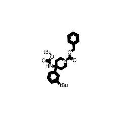 CC(C)(C)OC(=O)NC1(c2cccc(C(C)(C)C)c2)CCN(C(=O)OCc2ccccc2)CC1